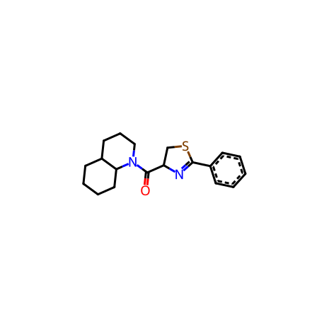 O=C(C1CSC(c2ccccc2)=N1)N1CCCC2CCCCC21